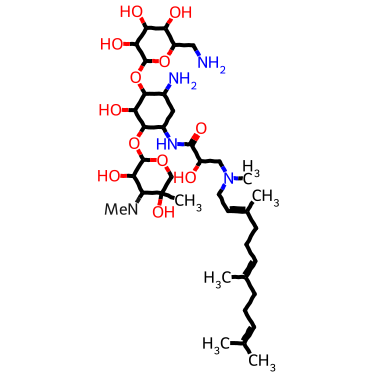 CNC1C(O)C(OC2C(NC(=O)C(O)CN(C)C/C=C(\C)CC/C=C(\C)CCC=C(C)C)CC(N)C(OC3OC(CN)C(O)C(O)C3O)C2O)OCC1(C)O